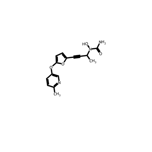 Cc1ccc(Oc2ccc(C#CC(C)N(O)C(N)=O)o2)cn1